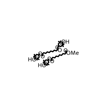 CC1(C)CC(OC(=O)CCCCCCCCC(=O)OC2CC(C)(C)N(O)C(C)(C)C2)CC(C)(C)N1O.COC(=O)CCCCCCCCC(=O)OC1CC(C)(C)N(O)C(C)(C)C1